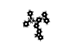 CC1(C)c2ccccc2-c2ccc(-c3ccc4c(c3)c3cc(-n5c6ccccc6c6ccccc65)ccc3n4-c3nc(-c4ccccc4)nc(-c4ccccc4)n3)cc21